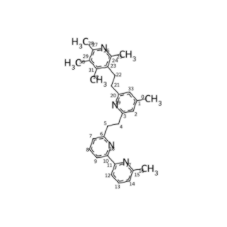 Cc1cc(CCc2cccc(-c3cccc(C)n3)n2)nc(CCc2c(C)nc(C)c(C)c2C)c1